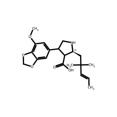 CC=CC(C)(C)C[C@@H]1NCC(c2cc(OC)c3c(c2)OCO3)C1C(=O)O